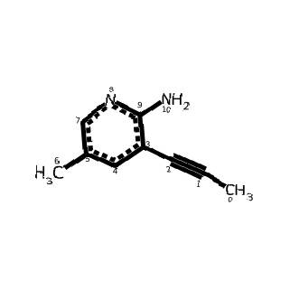 CC#Cc1cc(C)cnc1N